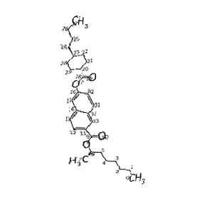 CCCCCC[C@@H](C)OC(=O)c1ccc2cc(OC(=O)[C@H]3CC[C@H](CCCC)CC3)ccc2c1